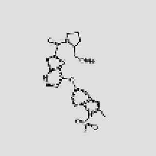 COCC1CCCN1C(=O)c1cc2nccc(Oc3ccc4c(c3)cc(C)n4S(C)(=O)=O)c2s1